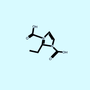 CCc1n(C(=O)O)cc[n+]1C(=O)O